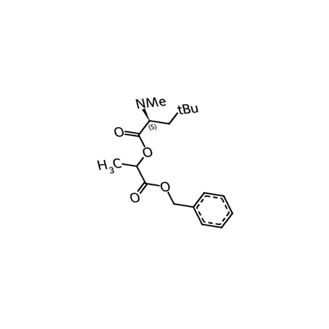 CN[C@@H](CC(C)(C)C)C(=O)OC(C)C(=O)OCc1ccccc1